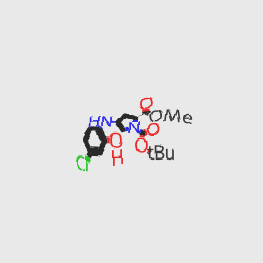 COC(=O)[C@H]1C[C@H](Nc2ccc(Cl)cc2O)CN1C(=O)OC(C)(C)C